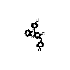 O=c1cc2n(-c3ccc(Cl)cc3)c3ccccc3nc-2cc1Cc1ccc(Cl)cc1